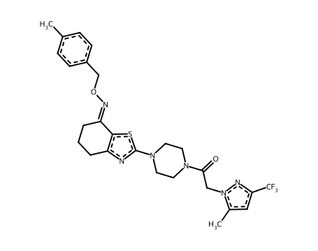 Cc1ccc(CON=C2CCCc3nc(N4CCN(C(=O)Cn5nc(C(F)(F)F)cc5C)CC4)sc32)cc1